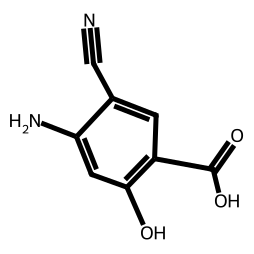 N#Cc1cc(C(=O)O)c(O)cc1N